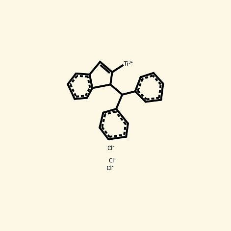 [Cl-].[Cl-].[Cl-].[Ti+3][C]1=Cc2ccccc2C1C(c1ccccc1)c1ccccc1